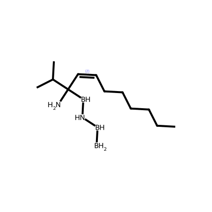 BBNBC(N)(/C=C\CCCCCC)C(C)C